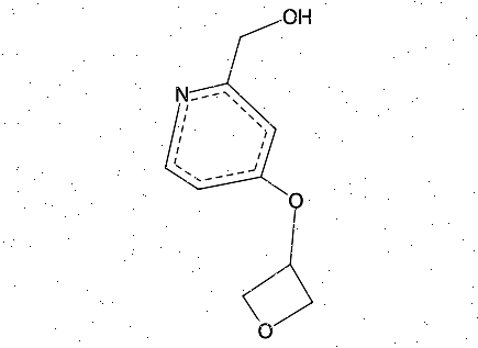 OCc1cc(OC2COC2)ccn1